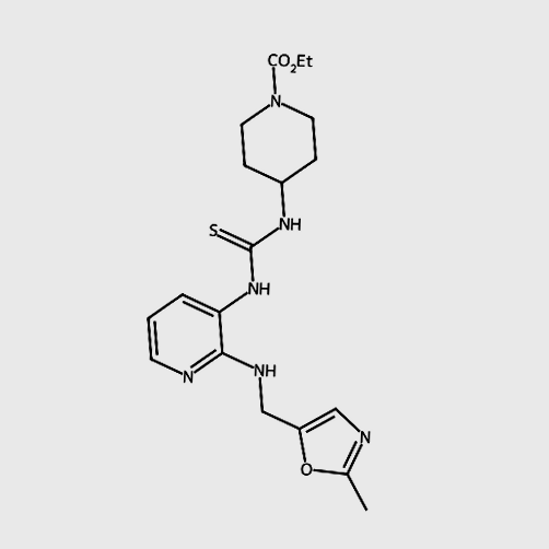 CCOC(=O)N1CCC(NC(=S)Nc2cccnc2NCc2cnc(C)o2)CC1